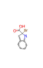 O=C(O)C1(Br)C=c2ccccc2=N1